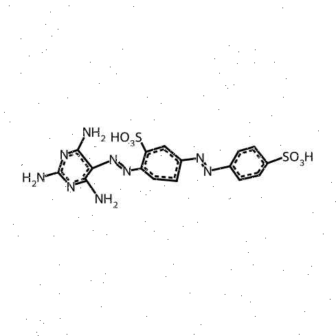 Nc1nc(N)c(/N=N/c2ccc(/N=N/c3ccc(S(=O)(=O)O)cc3)cc2S(=O)(=O)O)c(N)n1